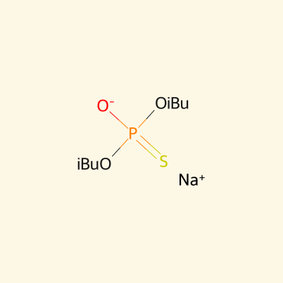 CC(C)COP([O-])(=S)OCC(C)C.[Na+]